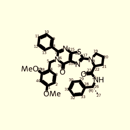 COc1ccc(Cn2c(-c3ccccc3)nc3sc(N4CCCC4C(=O)N[C@H](C)c4ccccc4)nc3c2=O)c(OC)c1